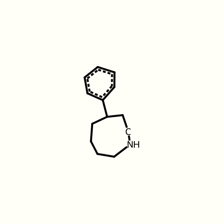 c1ccc(C2CCCCNCC2)cc1